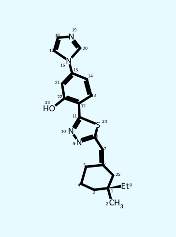 CC[C@@]1(C)CCC/C(=C\c2nnc(-c3ccc(-n4ccnc4)cc3O)s2)C1